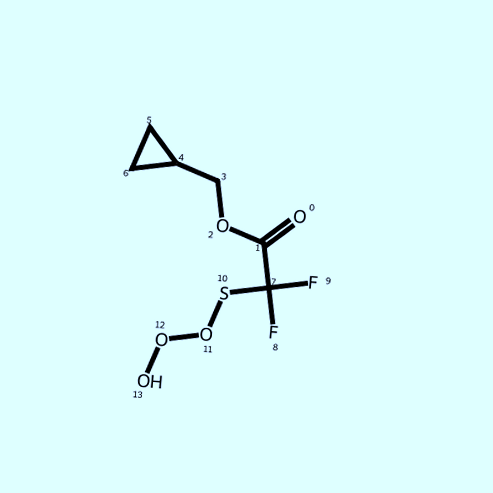 O=C(OCC1CC1)C(F)(F)SOOO